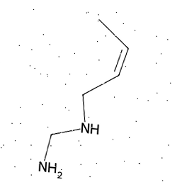 C/C=C\CNCN